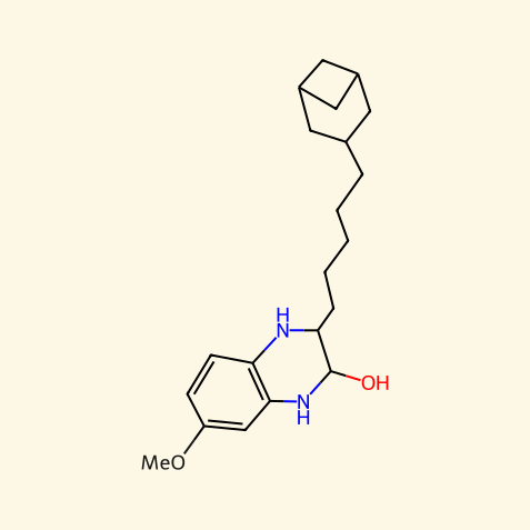 COc1ccc2c(c1)NC(O)C(CCCCCC1CC3CC(C1)C3)N2